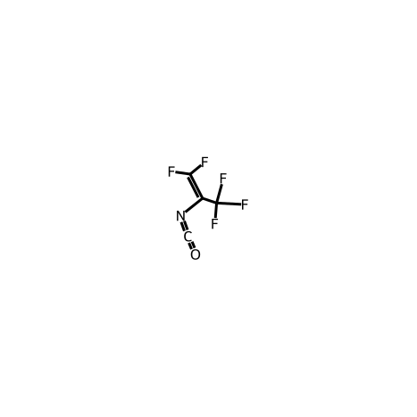 O=C=NC(=C(F)F)C(F)(F)F